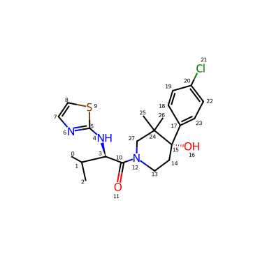 CC(C)[C@@H](Nc1nccs1)C(=O)N1CC[C@](O)(c2ccc(Cl)cc2)C(C)(C)C1